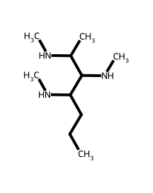 CCCC(NC)C(NC)C(C)NC